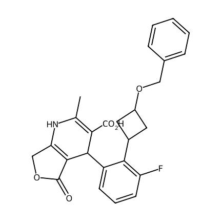 CC1=C(C(=O)O)C(c2cccc(F)c2C2CC(OCc3ccccc3)C2)C2=C(COC2=O)N1